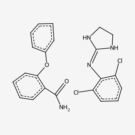 Clc1cccc(Cl)c1N=C1NCCN1.NC(=O)c1ccccc1Oc1ccccc1